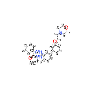 N#CC(Cc1ccc(-c2cccc(OCCN3CCOCC3)c2)cc1)NC(=O)C1(N)CCCCC1